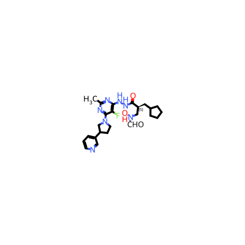 Cc1nc(NNC(=O)[C@@H](CC2CCCC2)CN(O)C=O)c(F)c(N2CCC(c3cccnc3)C2)n1